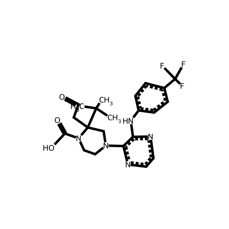 CC(C)(C)C1(CC=O)CN(c2nccnc2Nc2ccc(C(F)(F)F)cc2)CCN1C(=O)O